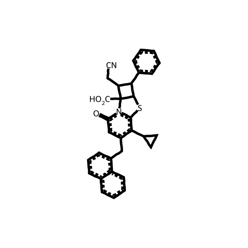 N#CCC1C(c2ccccc2)C2Sc3c(C4CC4)c(Cc4cccc5ccccc45)cc(=O)n3C12C(=O)O